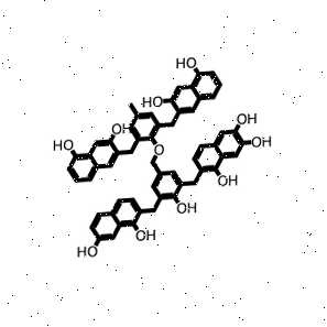 Cc1cc(Cc2cc3cccc(O)c3cc2O)c(OCc2cc(Cc3ccc4ccc(O)cc4c3O)c(O)c(Cc3ccc4cc(O)c(O)cc4c3O)c2)c(Cc2cc3cccc(O)c3cc2O)c1